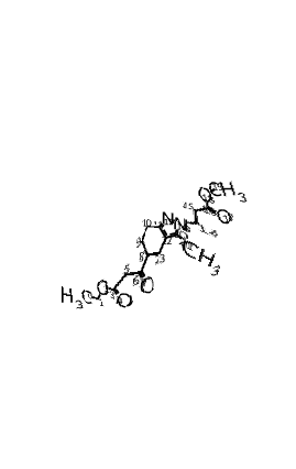 CCOC(=O)CC(=O)C1CCc2nn(CCC(=O)OC)c(C)c2C1